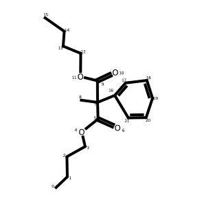 CCCCOC(=O)C(C)(C(=O)OCCCC)c1ccccc1